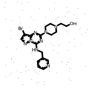 OCCN1CCN(c2nc(NCc3cccnc3)n3ncc(Br)c3n2)CC1